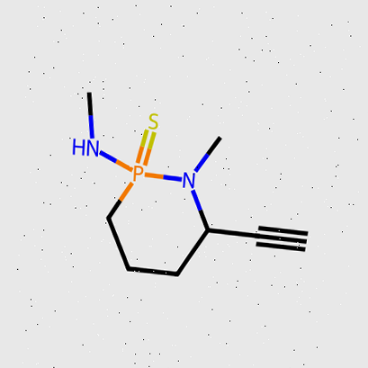 C#CC1CCCP(=S)(NC)N1C